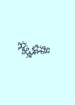 CC[CH]Oc1cc2ncnc(Nc3ncc(CC(=O)Nc4cccc(F)c4F)s3)c2cc1OC